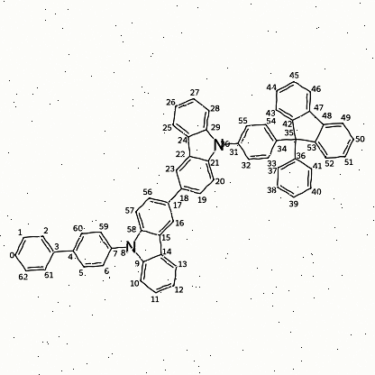 c1ccc(-c2ccc(-n3c4ccccc4c4cc(-c5ccc6c(c5)c5ccccc5n6-c5ccc(C6(c7ccccc7)c7ccccc7-c7ccccc76)cc5)ccc43)cc2)cc1